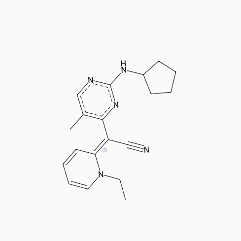 CCN1C=CC=C/C1=C(/C#N)c1nc(NC2CCCC2)ncc1C